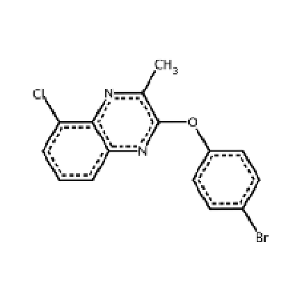 Cc1nc2c(Cl)cccc2nc1Oc1ccc(Br)cc1